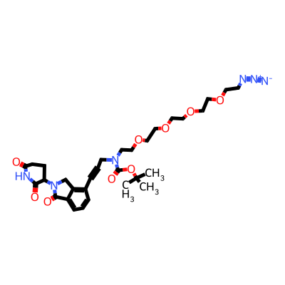 CC(C)(C)OC(=O)N(CC#Cc1cccc2c1CN(C1CCC(=O)NC1=O)C2=O)CCOCCOCCOCCOCCN=[N+]=[N-]